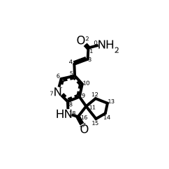 NC(=O)C=Cc1cnc2c(c1)C1(CCCC1)C(=O)N2